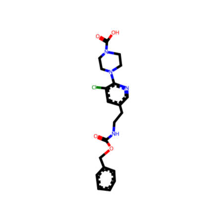 O=C(NCCc1cnc(N2CCN(C(=O)O)CC2)c(Cl)c1)OCc1ccccc1